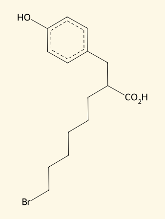 O=C(O)C(CCCCCCBr)Cc1ccc(O)cc1